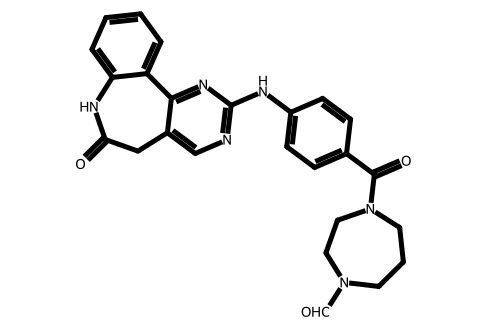 O=CN1CCCN(C(=O)c2ccc(Nc3ncc4c(n3)-c3ccccc3NC(=O)C4)cc2)CC1